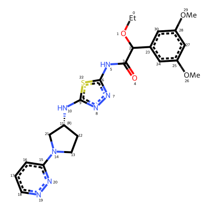 CCOC(C(=O)Nc1nnc(N[C@@H]2CCN(c3cccnn3)C2)s1)c1cc(OC)cc(OC)c1